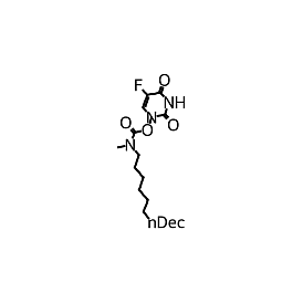 CCCCCCCCCCCCCCCCN(C)C(=O)On1cc(F)c(=O)[nH]c1=O